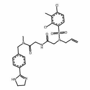 C=CCN(CC(=O)NCC(=O)N(C)Cc1ccc(C2=NCCN2)cc1)S(=O)(=O)c1ccc(Cl)c(C)c1Cl